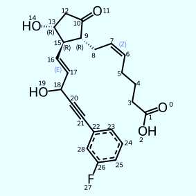 O=C(O)CCC/C=C\C[C@H]1C(=O)C[C@@H](O)[C@@H]1/C=C/C(O)C#Cc1cccc(F)c1